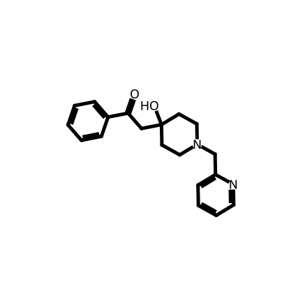 O=C(CC1(O)CCN(Cc2ccccn2)CC1)c1ccccc1